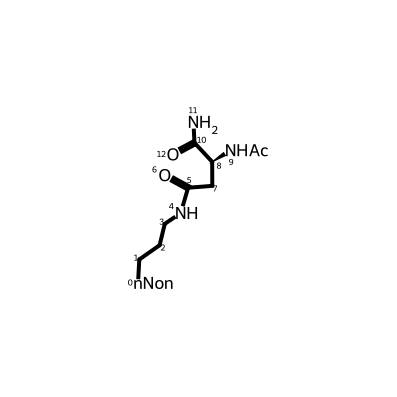 CCCCCCCCCCCCNC(=O)C[C@H](NC(C)=O)C(N)=O